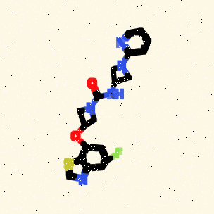 O=C(NC1CN(c2ccccn2)C1)N1CC(Oc2cc(F)cc3ncsc23)C1